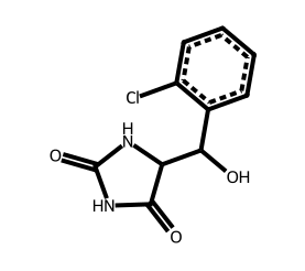 O=C1NC(=O)C(C(O)c2ccccc2Cl)N1